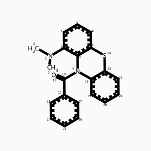 CN(C)c1cccc2c1N(C(=O)c1ccccc1)c1ccccc1S2